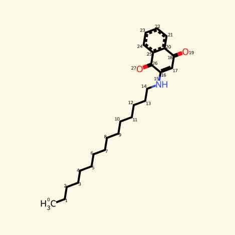 CCCCCCCCCCCCCCCNC1=CC(=O)c2ccccc2C1=O